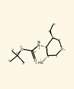 CC[C@H]1COC[C@H](O)[C@@H]1NC(=O)OC(C)(C)C